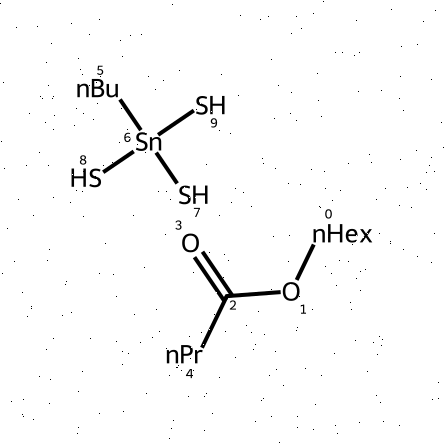 CCCCCCOC(=O)CCC.CCC[CH2][Sn]([SH])([SH])[SH]